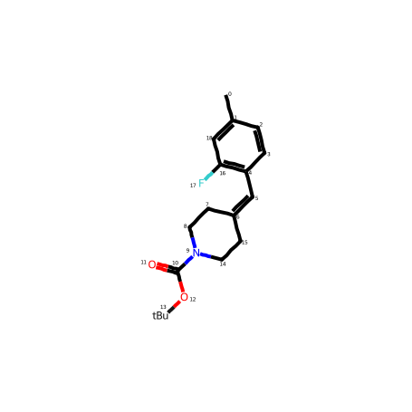 Cc1ccc(C=C2CCN(C(=O)OC(C)(C)C)CC2)c(F)c1